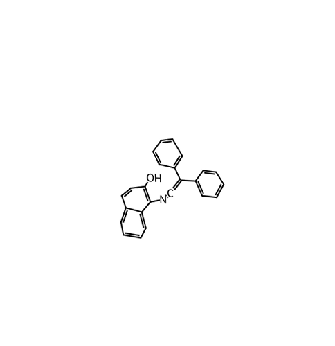 Oc1ccc2ccccc2c1N=C=C(c1ccccc1)c1ccccc1